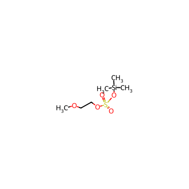 COCCOS(=O)(=O)O[Si](C)(C)C